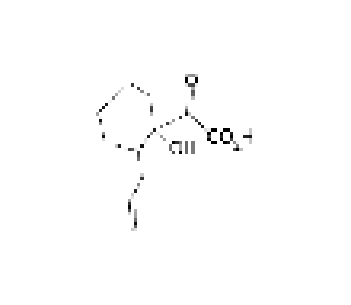 C=CCC1CCCCC1(O)C(=O)C(=O)O